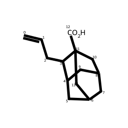 C=CCC1C2CC3CC(C2)CC1(C(=O)O)C3